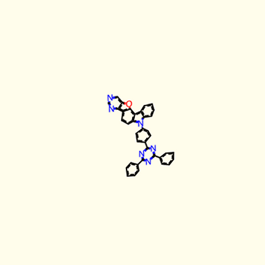 c1ccc(-c2nc(-c3ccccc3)nc(-c3ccc(-n4c5ccccc5c5c6oc7cncnc7c6ccc54)cc3)n2)cc1